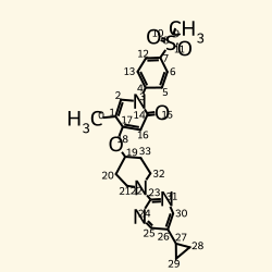 Cc1cn(-c2ccc(S(C)(=O)=O)cc2)c(=O)cc1OC1CCN(c2ncc(C3CC3)cn2)CC1